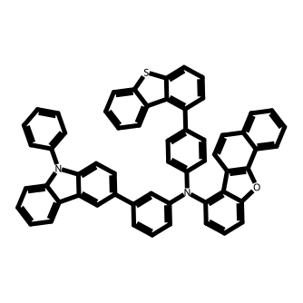 c1ccc(-n2c3ccccc3c3cc(-c4cccc(N(c5ccc(-c6cccc7sc8ccccc8c67)cc5)c5cccc6oc7c8ccccc8ccc7c56)c4)ccc32)cc1